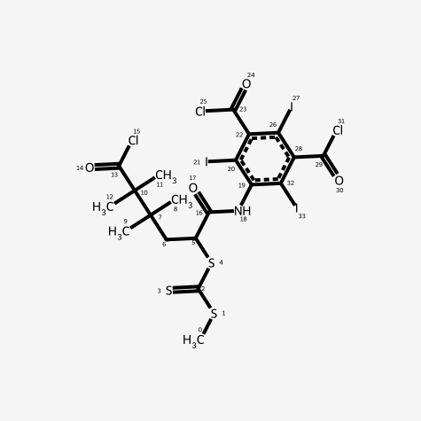 CSC(=S)SC(CC(C)(C)C(C)(C)C(=O)Cl)C(=O)Nc1c(I)c(C(=O)Cl)c(I)c(C(=O)Cl)c1I